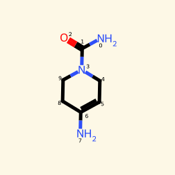 NC(=O)N1CC=C(N)CC1